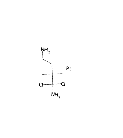 CC(C)(CCN)C(N)(Cl)Cl.[Pt]